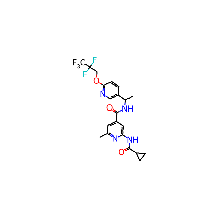 Cc1cc(C(=O)NC(C)c2ccc(OCC(F)(F)C(F)(F)F)nc2)cc(NC(=O)C2CC2)n1